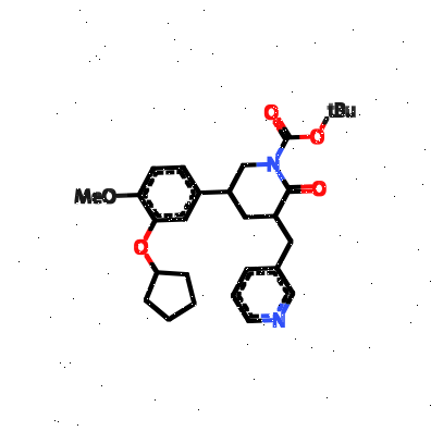 COc1ccc(C2CC(Cc3cccnc3)C(=O)N(C(=O)OC(C)(C)C)C2)cc1OC1CCCC1